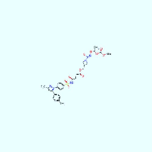 Cc1ccc(-c2cc(C(F)(F)F)nn2-c2ccc(S(=O)(=O)NC(=O)CCC(=O)OCC3CN(/[N+]([O-])=N/OC(C)OC(=O)OC(C)(C)C)C3)cc2)cc1